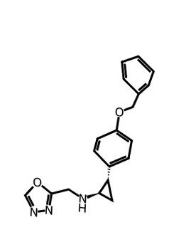 c1ccc(COc2ccc([C@@H]3C[C@H]3NCc3nnco3)cc2)cc1